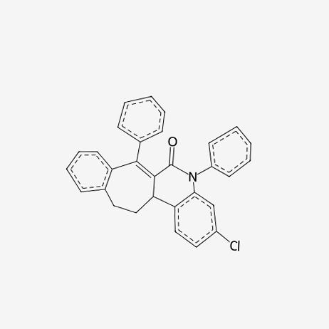 O=C1C2=C(c3ccccc3)c3ccccc3CCC2c2ccc(Cl)cc2N1c1ccccc1